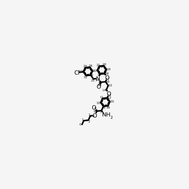 CCCCOC(=O)C(N)c1ccc(OCCC2Oc3ccccc3N(Cc3cccc(Cl)c3)C2=O)cc1